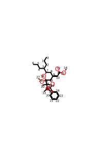 CCCC(CCC)C1C/C(=C\C(=O)OC)C(OC(=O)c2ccccc2)C(OC)(C(C)(C)C(C)C)O1